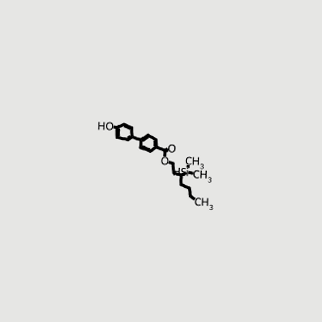 CCCCC(CCOC(=O)c1ccc(-c2ccc(O)cc2)cc1)[SiH](C)C